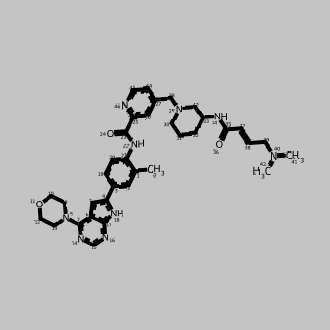 Cc1cc(-c2cc3c(N4CCOCC4)ncnc3[nH]2)ccc1NC(=O)c1cc(CN2CCCC(NC(=O)/C=C/CN(C)C)C2)ccn1